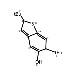 CC(C)(C)C1C=C2C=C(O)C(C(C)(C)C)C=C2S1